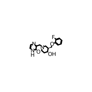 O=c1[nH]ccnc1CN1CC[C@@H](O)[C@H](COc2ccccc2F)C1